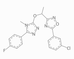 CC(Oc1nnc(-c2ccc(F)cc2)n1C)c1noc(-c2cccc(Cl)c2)n1